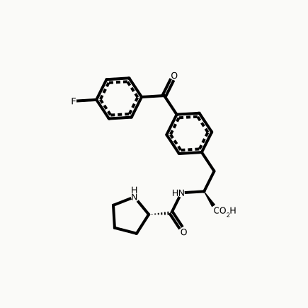 O=C(c1ccc(F)cc1)c1ccc(C[C@H](NC(=O)[C@@H]2CCCN2)C(=O)O)cc1